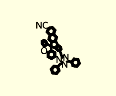 N#Cc1ccc2cc3c(cc2c1)C1(c2ccccc2Oc2ccccc21)c1cc(-c2nc(-c4ccccc4)nc(-c4ccccc4)n2)ccc1-3